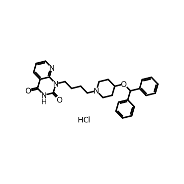 Cl.O=c1[nH]c(=O)n(CCCCN2CCC(OC(c3ccccc3)c3ccccc3)CC2)c2ncccc12